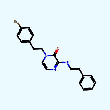 O=c1c(NCCc2ccccc2)nccn1CCc1ccc(Br)cc1